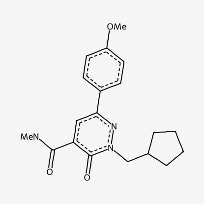 CNC(=O)c1cc(-c2ccc(OC)cc2)nn(CC2CCCC2)c1=O